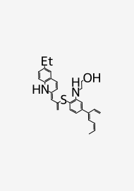 C=C/C(=C\C=C/C)c1ccc(SC(=C)/C=C2\C=Cc3cc(CC)ccc3N2)c(NCCO)c1